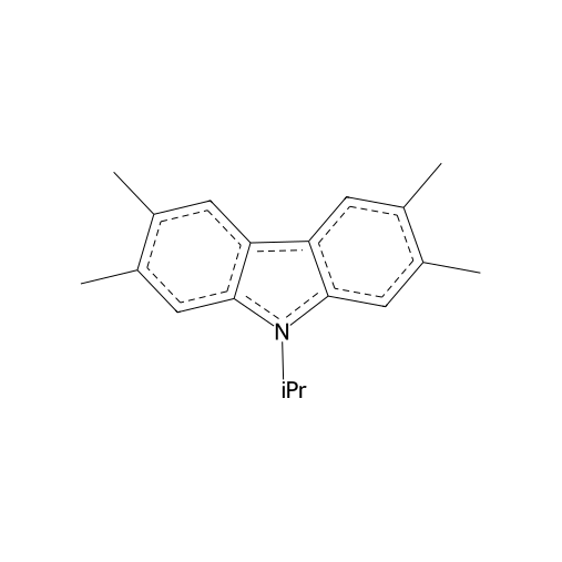 Cc1cc2c3cc(C)c(C)cc3n(C(C)C)c2cc1C